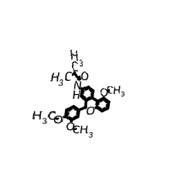 COc1ccc(C2Oc3cccc(OC)c3-c3ccc(NC(=O)C(C)C)cc32)cc1OC